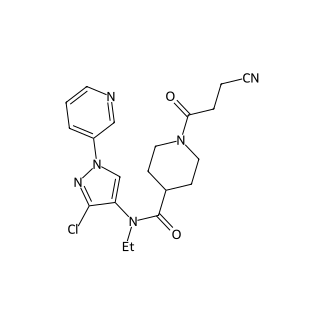 CCN(C(=O)C1CCN(C(=O)CCC#N)CC1)c1cn(-c2cccnc2)nc1Cl